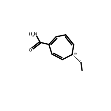 CC[C@H]1C=CC=C(C(N)=O)C=C1